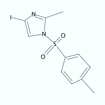 Cc1ccc(S(=O)(=O)n2cc(I)nc2C)cc1